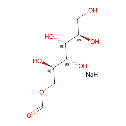 O=COC[C@@H](O)[C@@H](O)[C@H](O)[C@H](O)CO.[NaH]